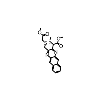 COC(=O)CSCc1nc2cc3ccccc3cc2nc1C(SC)C(=O)OC